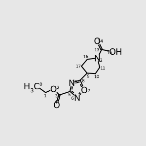 CCOC(=O)c1noc(C2CCN(C(=O)O)CC2)n1